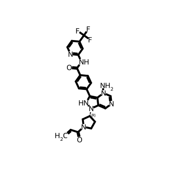 C=CC(=O)N1CC[C@@H](N2NC(c3ccc(C(=O)Nc4cc(C(F)(F)F)ccn4)cc3)=C3C2=CN=CN3N)C1